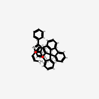 C/C=C\c1nc(-c2ccccc2)n(-c2cccc3c2C2(c4ccccc4-c4ccccc42)c2ccccc2-3)c1C